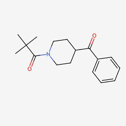 CC(C)(C)C(=O)N1CCC(C(=O)c2ccccc2)CC1